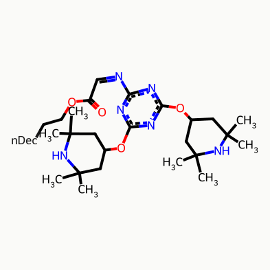 CCCCCCCCCCCCOC(=O)/C=N\c1nc(OC2CC(C)(C)NC(C)(C)C2)nc(OC2CC(C)(C)NC(C)(C)C2)n1